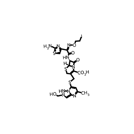 CC1=NC2=CN(CO)NN2C(SCC2=C(C(=O)O)N3C(=O)[C@@H](NC(=O)/C(=N\OCCI)c4csc(N)n4)[C@H]3SC2)=C1